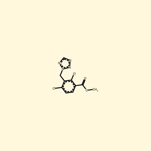 COC(=O)c1ccc(Cl)c(Cn2ncnn2)c1Cl